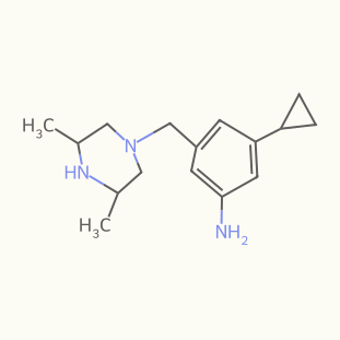 CC1CN(Cc2cc(N)cc(C3CC3)c2)CC(C)N1